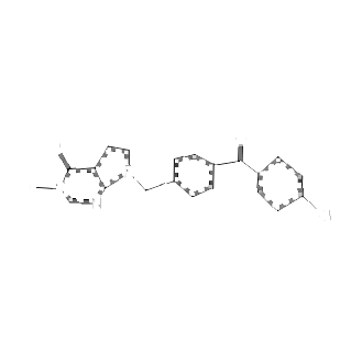 CCn1cnc2c(ccn2Cc2ccc(C(=O)c3ccc(Cl)cc3)cc2)c1=O